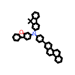 CC1(C)c2ccccc2-c2ccc(N(c3ccc(-c4ccc5c(ccc6c7ccccc7ccc56)c4)cc3)c3ccc4c(c3)oc3ccccc34)cc21